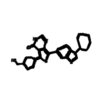 O=c1[nH]cnc2c(-c3ccc4c(c3)ncn4C3CCCCC3)sc(N3CC[C@@H](CO)C3)c12